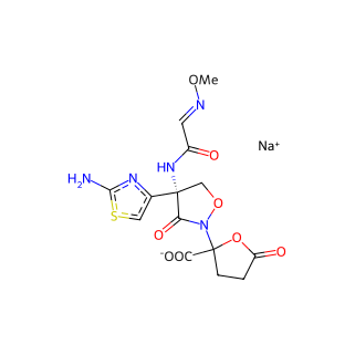 CON=CC(=O)N[C@]1(c2csc(N)n2)CON(C2(C(=O)[O-])CCC(=O)O2)C1=O.[Na+]